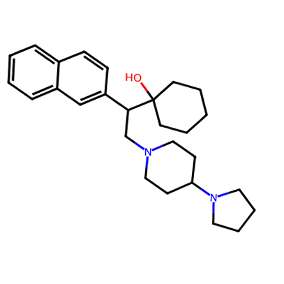 OC1(C(CN2CCC(N3CCCC3)CC2)c2ccc3ccccc3c2)CCCCC1